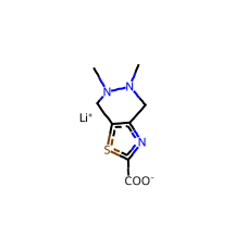 CN1Cc2nc(C(=O)[O-])sc2CN1C.[Li+]